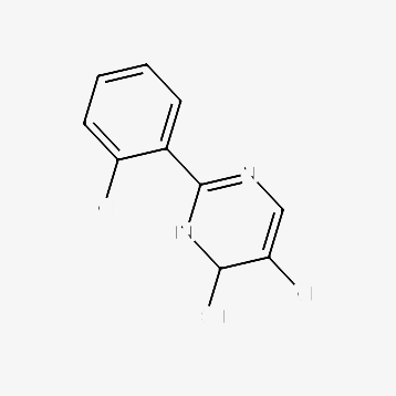 CC1NC(c2ccccc2Cl)=NC=C1Cl